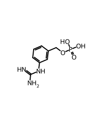 N=C(N)Nc1cccc(COP(=O)(O)O)c1